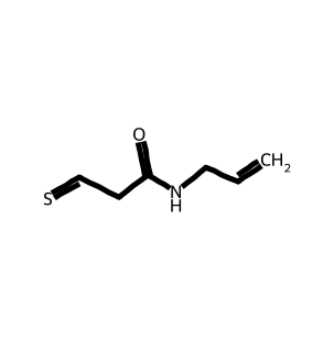 C=CCNC(=O)CC=S